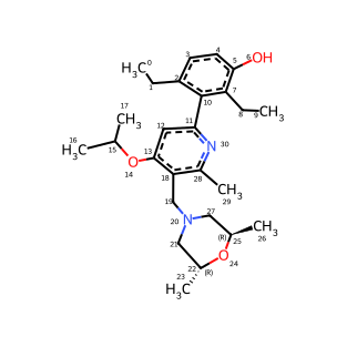 CCc1ccc(O)c(CC)c1-c1cc(OC(C)C)c(CN2C[C@@H](C)O[C@H](C)C2)c(C)n1